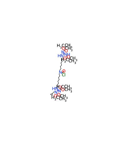 CC(C)(C)OC(=O)/N=C(/NCCCCCCCCN(CCCCCCCCN/C(=N\C(=O)OC(C)(C)C)N(CC1CC1)C(=O)OC(C)(C)C)C(=O)Cl)NC(=O)OC(C)(C)C